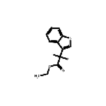 CCOC(=O)C(F)(F)c1csc2ccccc12